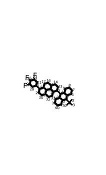 CC(C)(C)c1c2ccccc2c(-c2ccc3ccc4c(-c5cc(F)c(F)c(F)c5)ccc5ccc2c3c54)c2ccccc12